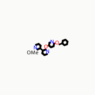 COc1ncccc1-c1cccnc1Oc1ccc(OCc2ccccc2)nc1